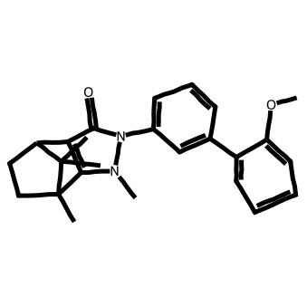 COc1ccccc1-c1cccc(-n2c(=O)c3c(n2C)C2(C)CCC3C2(C)C)c1